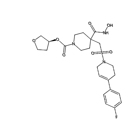 O=C(O[C@H]1CCOC1)N1CCC(CS(=O)(=O)N2CC=C(c3ccc(F)cc3)CC2)(C(=O)NO)CC1